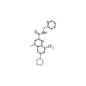 Cc1cc(C(=O)NCc2ccccn2)nc2c(C(F)(F)F)cc(C3CCCC3)cc12